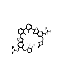 C=C1CN(Cc2cc3nc(-c4cccc(-c5cccc(-c6nc7cc(CN8CCC[C@H]8C(=O)O)c(OC(F)F)cc7o6)c5C)c4C)oc3cc2OC(F)F)C1